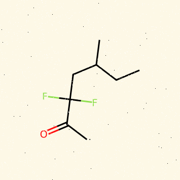 [CH2]C(=O)C(F)(F)CC(C)CC